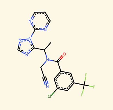 CC(c1ncnn1-c1ncccn1)N(CC#N)C(=O)c1cc(Cl)cc(C(F)(F)F)c1